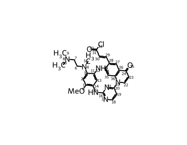 COc1cc(N(C)CCN(C)C)c(N)cc1Nc1nccc(-n2ccc(=O)c3cc(/C=C/C(=O)Cl)ccc32)n1